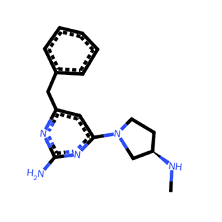 CN[C@@H]1CCN(c2cc(Cc3ccccc3)nc(N)n2)C1